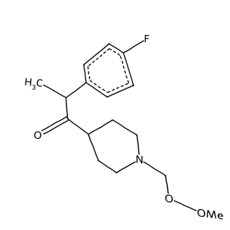 COOCN1CCC(C(=O)C(C)c2ccc(F)cc2)CC1